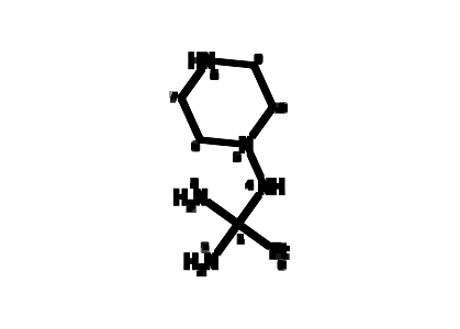 CCC(N)(N)NN1CCNCC1